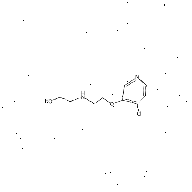 OCCNCCOc1cnccc1Cl